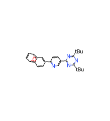 CC(C)(C)c1nc(-c2ccc(-c3ccc4c5ccc(o5)c4c3)nc2)nc(C(C)(C)C)n1